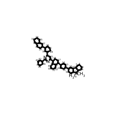 CC1(C)c2ccccc2-c2cc(-c3ccc(-c4ccc(-c5cc(-c6cccc(-c7ccc8ccccc8c7)c6)nc(-c6ccccc6)n5)c5ccccc45)cc3)ccc21